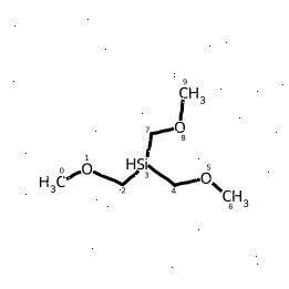 COC[SiH](COC)COC